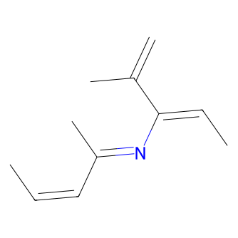 C=C(C)C(=C/C)/N=C(C)/C=C\C